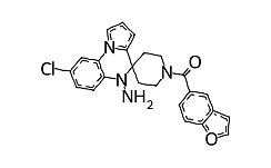 NN1c2ccc(Cl)cc2-n2cccc2C12CCN(C(=O)c1ccc3occc3c1)CC2